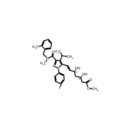 COC(=O)C[C@H](O)C[C@H](O)/C=C/c1c(C(C)C)c(C(=O)N(C)Cc2ccccc2C)nn1-c1ccc(F)cc1